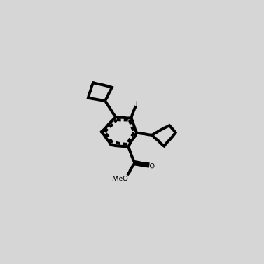 COC(=O)c1ccc(C2CCC2)c(I)c1C1CCC1